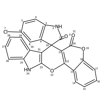 O=C1Nc2ccc(Cl)cc2C12c1c(c3ccccc3oc1=O)Oc1[nH]c3ccccc3c12